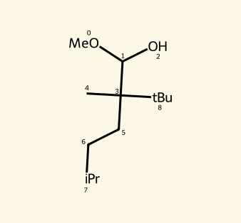 COC(O)C(C)(CCC(C)C)C(C)(C)C